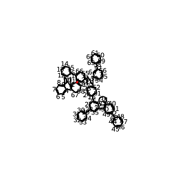 C1=Cc2c(c3ccccc3n2-c2ccccc2-c2ccc(N(c3ccc(-c4cc(-c5ccccc5)cc5c4oc4ccc(-c6ccccc6)cc45)cc3)c3cccc(-c4ccccc4)c3)cc2)CC1